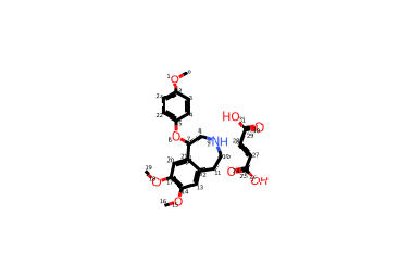 COc1ccc(OC2CNCCc3cc(OC)c(OC)cc32)cc1.O=C(O)C=CC(=O)O